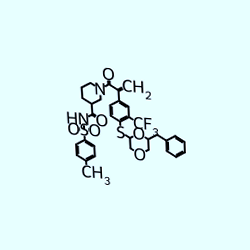 C=C(C(=O)N1CCCC(C(=O)NS(=O)(=O)c2ccc(C)cc2)C1)c1ccc(SC2COCC(Cc3ccccc3)O2)c(C(F)(F)F)c1